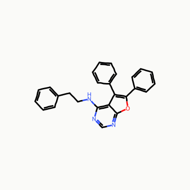 c1ccc(CCNc2ncnc3oc(-c4ccccc4)c(-c4ccccc4)c23)cc1